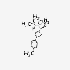 C=C(C)C(F)[C@H](C)/C(=C\C)c1ccc(-c2ccc(C)cc2)cc1